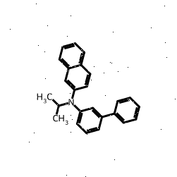 CC(C)N(c1cccc(-c2ccccc2)c1)c1ccc2ccccc2c1